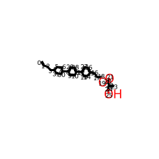 C=CCCC1CCC(c2ccc(-c3ccc(CCCOC(=O)C(=C)CO)cc3)cc2)CC1